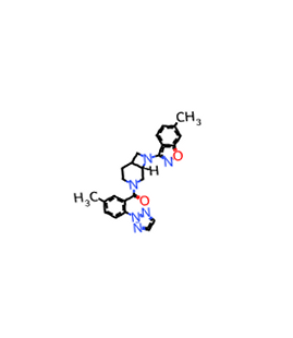 Cc1ccc(-n2nccn2)c(C(=O)N2CCC3CN(c4noc5cc(C)ccc45)[C@@H]3C2)c1